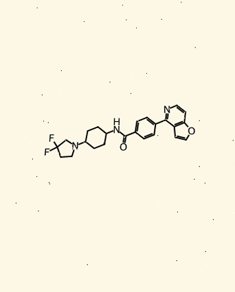 O=C(NC1CCC(N2CCC(F)(F)C2)CC1)c1ccc(-c2nccc3occc23)cc1